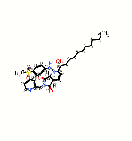 CCCCCCCCCC[C@@H](O)[C@H]1C=C[C@H]2C(=O)N(Cc3ccccn3)C(=O)[C@H]2N1Nc1ccc(S(C)(=O)=O)cc1